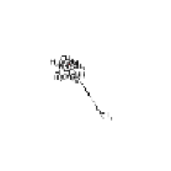 CCCCCCCCCCCCCCCCCC(=O)Nc1cc(C(C)(C)C)c(OC(=O)OC(C)(C)C)c(C(C)(C)C)c1